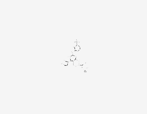 Cn1ccc(-c2nc(Cc3cccc(C(F)(F)F)c3)nc3c2CCN(C(=O)OC(C)(C)C)C3)n1